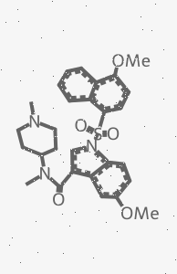 COc1ccc2c(c1)c(C(=O)N(C)C1CCN(C)CC1)cn2S(=O)(=O)c1ccc(OC)c2ccccc12